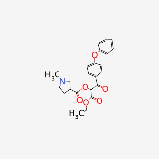 CCOC(=O)C(OC(=O)C1CCN(C)C1)C(=O)c1ccc(Oc2ccccc2)cc1